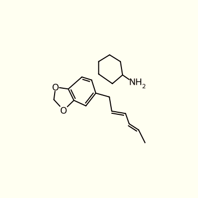 CC=CC=CCc1ccc2c(c1)OCO2.NC1CCCCC1